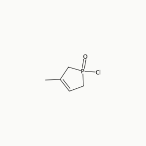 CC1=CCP(=O)(Cl)C1